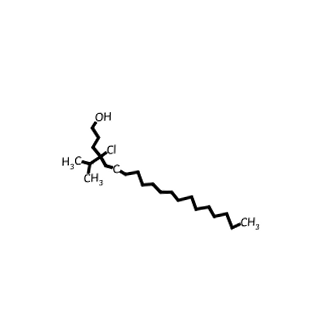 CCCCCCCCCCCCCCCCC(Cl)(CCCO)[C](C)C